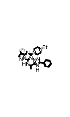 CCN1CCN(c2nc(NC(C)c3nnc(-c4ccccc4)[nH]3)n3ncc(C(C)C)c3n2)CC1